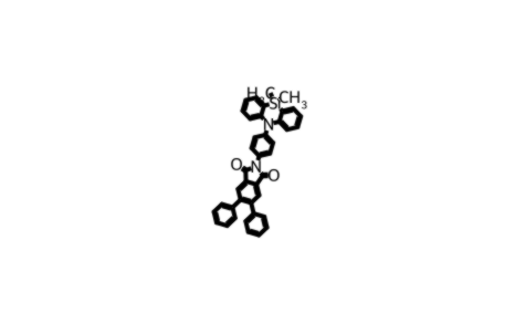 C[Si]1(C)c2ccccc2N(c2ccc(N3C(=O)c4cc(-c5ccccc5)c(-c5ccccc5)cc4C3=O)cc2)c2ccccc21